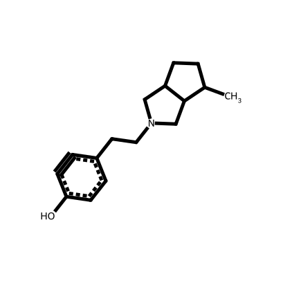 CC1CCC2CN(CCc3c#cc(O)cc3)CC12